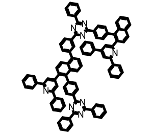 c1ccc(-c2cc(-c3ccccc3)nc(-c3ccc4ccccc4c3-c3ccc(-c4nc(-c5ccccc5)nc(-c5cccc(-c6cccc7c(-c8ccc(-c9nc(-c%10ccccc%10)nc(-c%10ccccc%10)n9)cc8)c(-c8cc(-c9ccccc9)nc(-c9ccccc9)c8)ccc67)c5)n4)cc3)c2)cc1